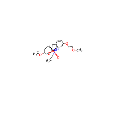 COCCOc1ccc2c(c1)C1(NC(=O)N(C)C1=O)C1(CCC(OC)CC1)C2